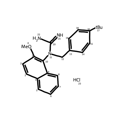 COc1ccc2ccccc2c1N(Cc1ccc(C(C)(C)C)cc1)C(=N)N.Cl